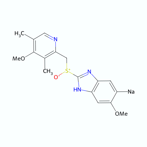 COc1cc2[nH]c([S+]([O-])Cc3ncc(C)c(OC)c3C)nc2c[c]1[Na]